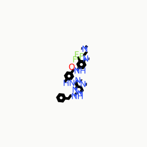 C=N/C=N\C(Nc1cc(C(=O)Nc2ccc(N(C)CCN(C)C)c(C(F)(F)F)c2)ccc1C)=C1/CC=NC(NCCc2ccccc2)=N1